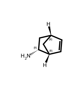 N[C@@H]1C[C@@H]2C=C[C@H]1C2